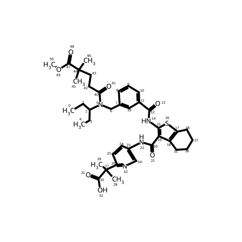 CCC(CC)N(Cc1cccc(C(=O)Nc2sc3c(c2C(=O)Nc2ccc(C(C)(C)C(=O)O)nc2)CCCC3)c1)C(=O)CCC(C)(C)C(=O)OC